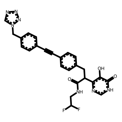 O=C(NCC(F)F)C(Cc1ccc(C#Cc2ccc(Cn3cnnn3)cc2)cc1)c1nc[nH]c(=O)c1O